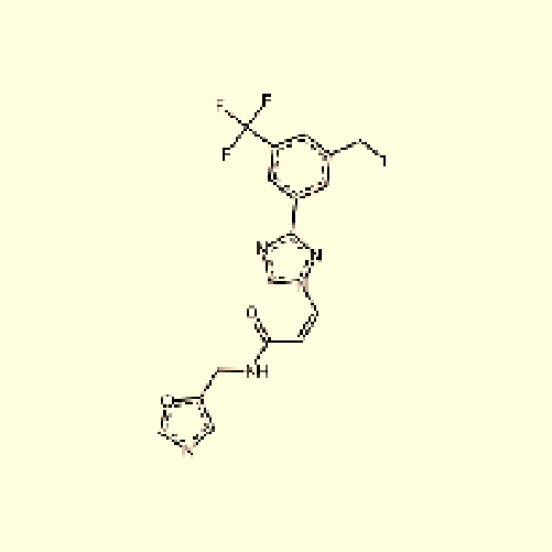 O=C(/C=C\n1cnc(-c2cc(CF)cc(C(F)(F)F)c2)n1)NCc1cnco1